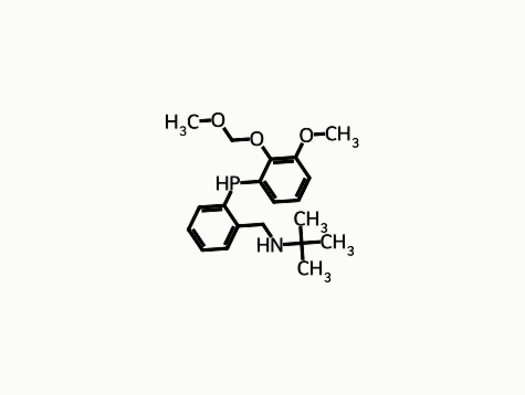 COCOc1c(OC)cccc1Pc1ccccc1CNC(C)(C)C